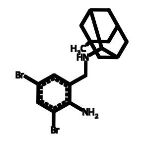 CC12CC3CC(C1)C(NCc1cc(Br)cc(Br)c1N)C(C3)C2